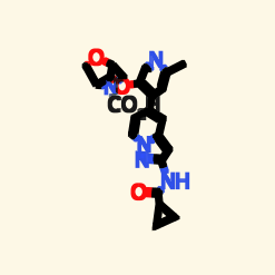 Cc1cc(-c2ccn3nc(NC(=O)C4CC4)cc3c2)c(OC2C3CN(C(=O)O)C2CO3)cn1